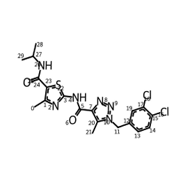 Cc1nc(NC(=O)c2nnn(Cc3ccc(Cl)c(Cl)c3)c2C)sc1C(=O)NC(C)C